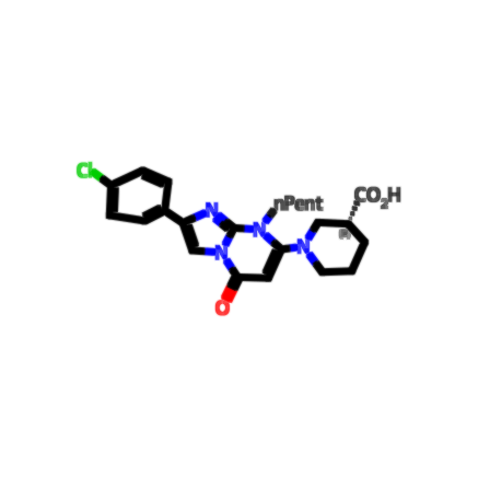 CCCCCn1c(N2CCC[C@@H](C(=O)O)C2)cc(=O)n2cc(-c3ccc(Cl)cc3)nc12